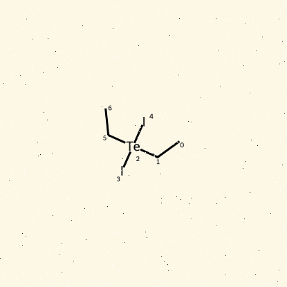 CC[Te](I)(I)CC